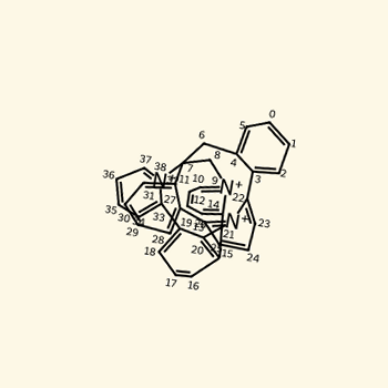 c1ccc2c(c1)CC13C[n+]4ccccc4-c4cccc(c4-[n+]4c-2cccc4-c2ccccc21)-c1cccc[n+]13